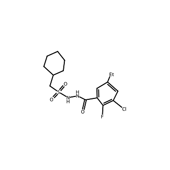 CCc1cc(Cl)c(F)c(C(=O)NNS(=O)(=O)CC2CCCCC2)c1